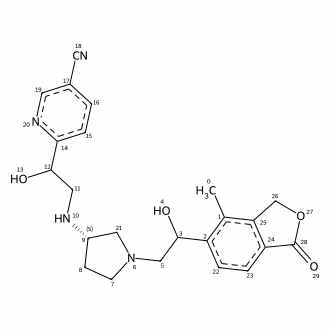 Cc1c(C(O)CN2CC[C@H](NCC(O)c3ccc(C#N)cn3)C2)ccc2c1COC2=O